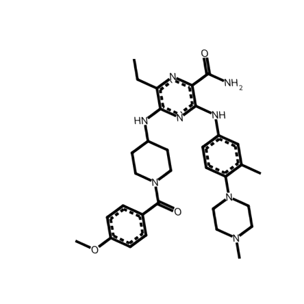 CCc1nc(C(N)=O)c(Nc2ccc(N3CCN(C)CC3)c(C)c2)nc1NC1CCN(C(=O)c2ccc(OC)cc2)CC1